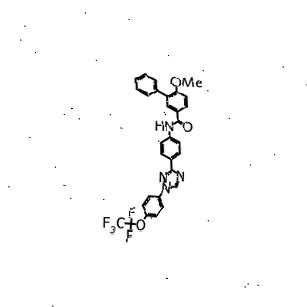 COc1ccc(C(=O)Nc2ccc(-c3ncn(-c4ccc(OC(F)(F)C(F)(F)F)cc4)n3)cc2)cc1-c1ccccc1